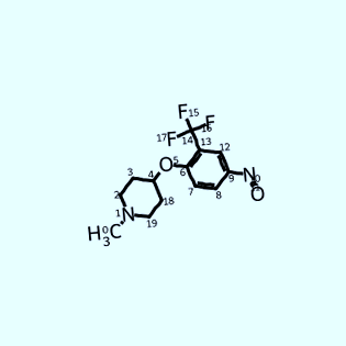 CN1CCC(Oc2ccc(N=O)cc2C(F)(F)F)CC1